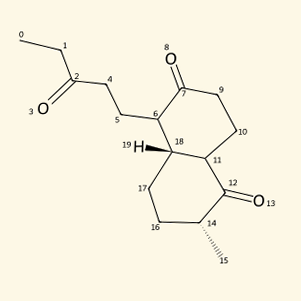 CCC(=O)CCC1C(=O)CCC2C(=O)[C@H](C)CC[C@H]12